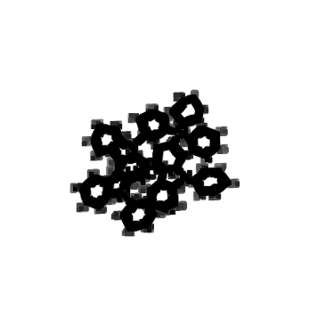 CC12C=CC([Si](C3=CCCC=C3)(c3ccccc3)c3cccc(-n4c5ccccc5c5c6c7ccccc7n(-c7ccccc7)c6ccc54)c3)=CC1N(c1ccccc1)c1ccccc12